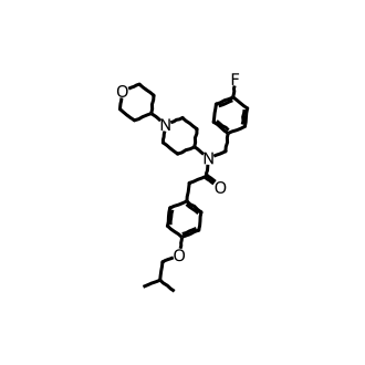 CC(C)COc1ccc(CC(=O)N(Cc2ccc(F)cc2)C2CCN(C3CCOCC3)CC2)cc1